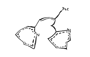 CC(=O)/C(=C/c1ccccn1)c1ccccn1